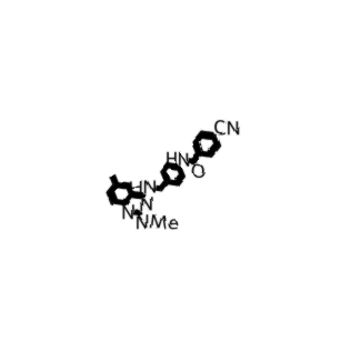 CNc1nc(NCc2ccc(NC(=O)c3ccc(C#N)cc3)cc2)c2cc(C)ccc2n1